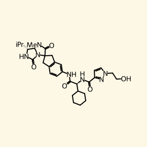 CNC(=O)C1(N2C[C@@H](C(C)C)NC2=O)Cc2ccc(NC(=O)[C@@H](NC(=O)c3ccn(CCO)n3)C3CCCCC3)cc2C1